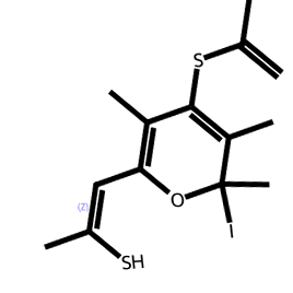 C=C(C)SC1=C(C)C(C)(I)OC(/C=C(/C)S)=C1C